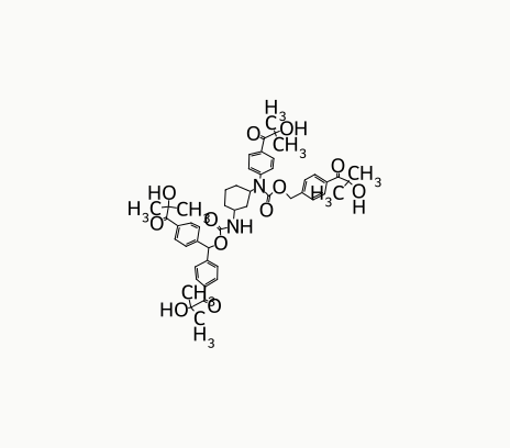 CC(C)(O)C(=O)c1ccc(COC(=O)N(c2ccc(C(=O)C(C)(C)O)cc2)C2CCCC(NC(=O)OC(c3ccc(C(=O)C(C)(C)O)cc3)c3ccc(C(=O)C(C)(C)O)cc3)C2)cc1